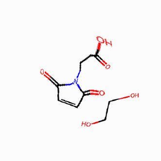 O=C(O)CN1C(=O)C=CC1=O.OCCO